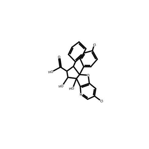 O=C(O)C1C(O)C2(O)c3ncc(Cl)cc3OC2(c2ccc(Cl)cc2)C1c1ccccc1